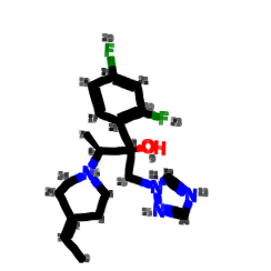 CC=C1CCN([C@@H](C)[C@@](O)(Cn2cncn2)c2ccc(F)cc2F)CC1